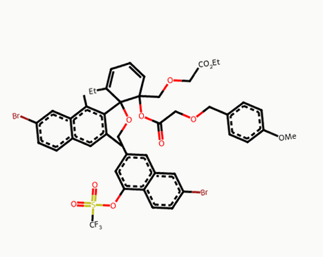 CCOC(=O)COCC1(OC(=O)COCc2ccc(OC)cc2)C=CC=C(CC)C1(OCc1cc(OS(=O)(=O)C(F)(F)F)c2ccc(Br)cc2c1)c1c(C)cc2ccc(Br)cc2c1C